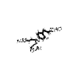 CC(=O)OCCN(CCOC(C)=O)c1ccc(/C=C/C=O)cc1